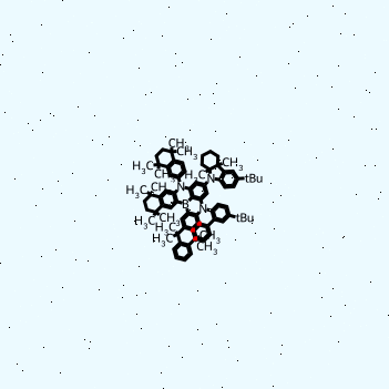 CC(C)(C)c1ccc(N2c3cc4c(cc3B3c5cc6c(cc5N(c5ccc7c(c5)C(C)(C)CCC7(C)C)c5cc(N7c8ccc(C(C)(C)C)cc8C8(C)CCCCC78C)cc2c53)C(C)(C)CCC6(C)C)C(C)(C)c2ccccc2C4(C)C)c(-c2ccccc2)c1